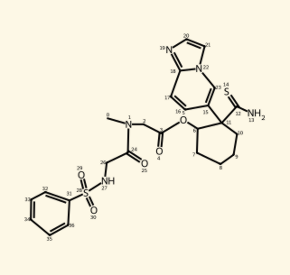 CN(CC(=O)OC1CCCCC1(C(N)=S)c1ccc2nccn2c1)C(=O)CNS(=O)(=O)c1ccccc1